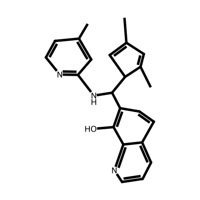 CC1=CC(C(Nc2cc(C)ccn2)c2ccc3cccnc3c2O)C(C)=C1